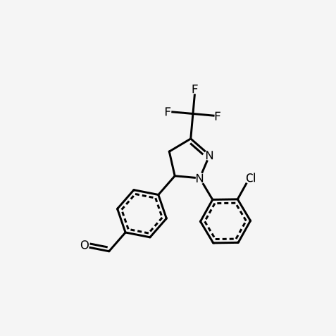 O=Cc1ccc(C2CC(C(F)(F)F)=NN2c2ccccc2Cl)cc1